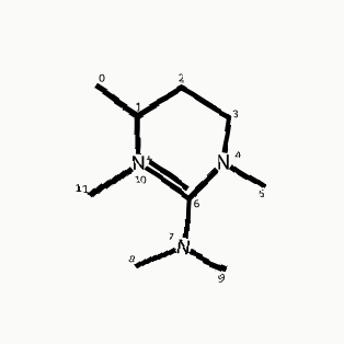 CC1CCN(C)C(N(C)C)=[N+]1C